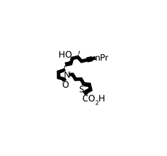 CCCC#CC[C@@H](C)[C@@H](O)C=C[C@H]1CCC(=O)N1CCCc1ccc(C(=O)O)s1